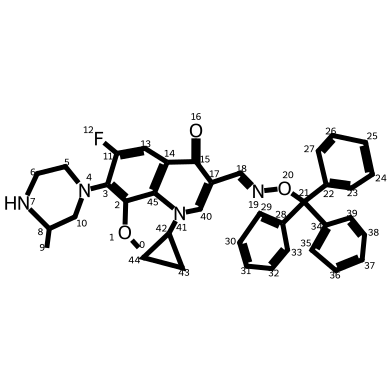 COc1c(N2CCNC(C)C2)c(F)cc2c(=O)c(/C=N/OC(c3ccccc3)(c3ccccc3)c3ccccc3)cn(C3CC3)c12